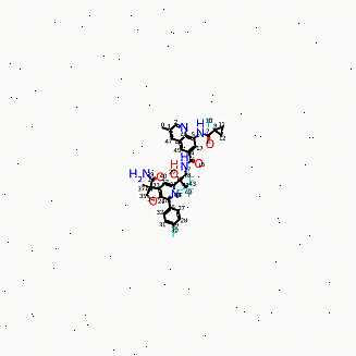 Cc1cnc2c(NC(=O)C3(F)CC3)cc(C(=O)NCC(O)(c3cc4c(c(-c5ccc(F)cc5)n3)OC[C@]4(C)C(N)=O)C(F)(F)F)cc2c1